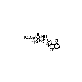 CC1(C)S[C@@H]2[C@H](NC(=O)Cc3nc(-c4c(Cl)cccc4Cl)no3)C(=O)N2[C@H]1C(=O)O